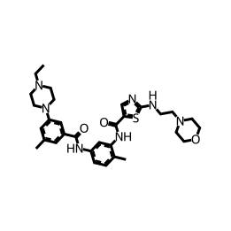 CCN1CCN(c2cc(C)cc(C(=O)Nc3ccc(C)c(NC(=O)c4cnc(NCCN5CCOCC5)s4)c3)c2)CC1